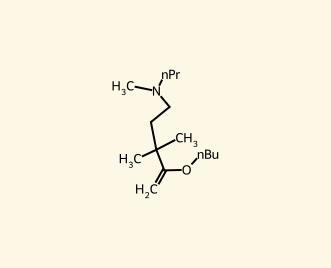 C=C(OCCCC)C(C)(C)CCN(C)CCC